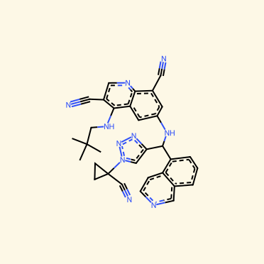 CC(C)(C)CNc1c(C#N)cnc2c(C#N)cc(NC(c3cn(C4(C#N)CC4)nn3)c3cccc4cnccc34)cc12